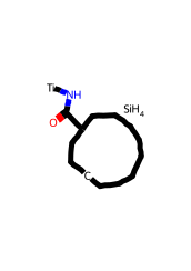 O=C([NH][Ti])C1CCCCCCCCCCC1.[SiH4]